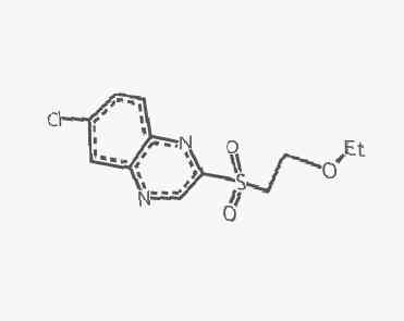 CCOCCS(=O)(=O)c1cnc2cc(Cl)ccc2n1